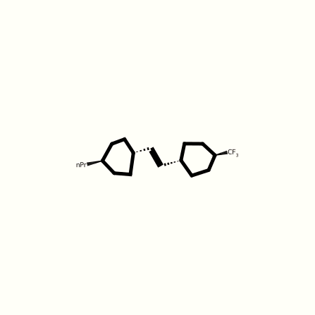 CCC[C@H]1CC[C@H](/C=C/[C@H]2CC[C@H](C(F)(F)F)CC2)CC1